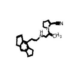 C=C(CNCCc1c2c(cc3c1CCC3)CCC2)N1CCCC1C#N